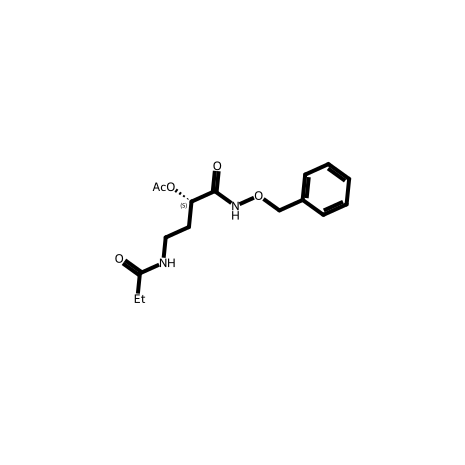 CCC(=O)NCC[C@H](OC(C)=O)C(=O)NOCc1ccccc1